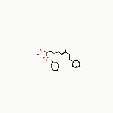 CCOP(=O)(OCC)C(CCCC=C(C)CCc1ccccc1)S(=O)(=O)OC1CCCCC1